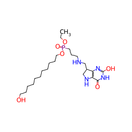 CCOP(=O)(CCCNCC1CNc2c1nc(O)[nH]c2=O)OCCCCCCCCCCCO